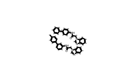 Cc1ccc(-c2cccc(NC(=O)Cn3cnc4ccccc43)c2)cc1.O=C(Cn1cnc2ccccc21)Nc1ccc(-c2ccccc2)cc1